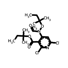 CCC(C)(C)OC(=O)c1c(N(C=O)OC(C)(C)CC)cc(Cl)nc1Cl